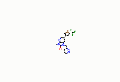 Cn1c(=O)n(Cc2cccnn2)c2cc(-c3csc(C(F)(F)F)c3)cnc21